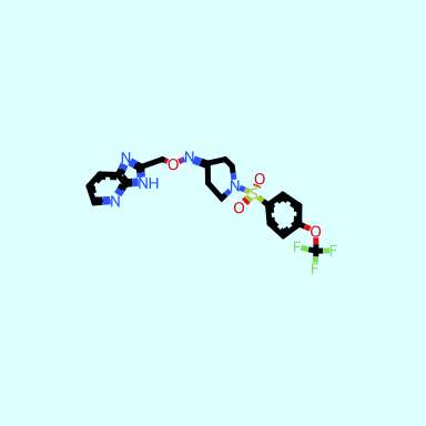 O=S(=O)(c1ccc(OC(F)(F)F)cc1)N1CCC(=NOCc2nc3cccnc3[nH]2)CC1